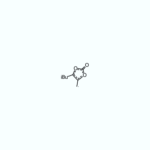 [CH2]c1oc(=O)oc1C(C)CC